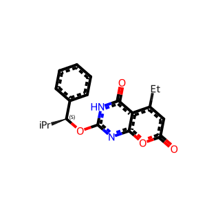 CCc1cc(=O)oc2nc(O[C@H](c3ccccc3)C(C)C)[nH]c(=O)c12